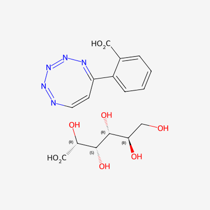 O=C(O)[C@H](O)[C@@H](O)[C@H](O)[C@H](O)CO.O=C(O)c1ccccc1C1=NN=NN=NC=C1